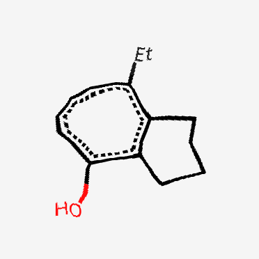 CCc1ccc(O)c2c1CCC2